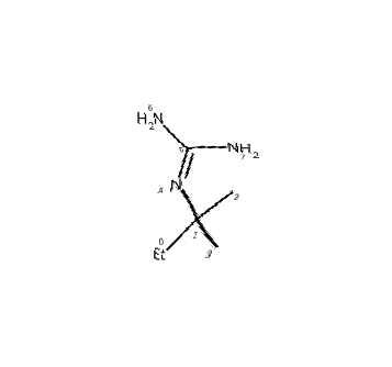 CCC(C)(C)N=C(N)N